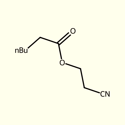 CCCCCC(=O)OCCC#N